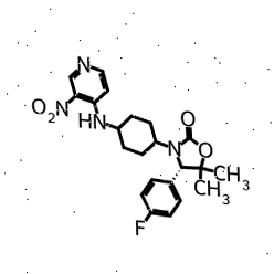 CC1(C)OC(=O)N(C2CCC(Nc3ccncc3[N+](=O)[O-])CC2)[C@H]1c1ccc(F)cc1